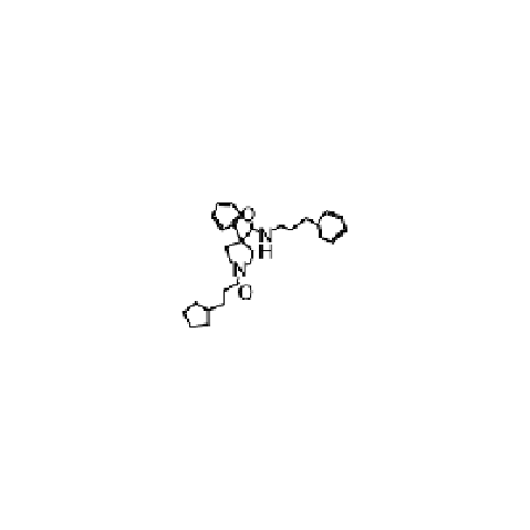 O=C(CCC1CCCC1)N1CCC(C(=O)NCCCc2ccccc2)(c2ccccc2)CC1